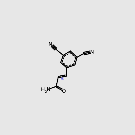 N#Cc1cc(C#N)cc(/C=C/C(N)=O)c1